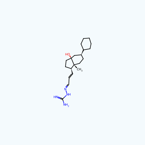 C[C@]12CC[C@H](C3CCCCC3)C[C@@]1(O)CC[C@@H]2C=CC=NNC(=N)N